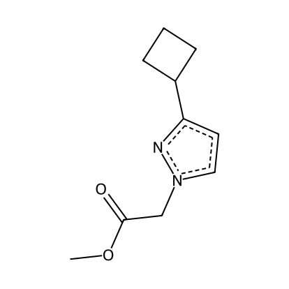 COC(=O)Cn1ccc(C2CCC2)n1